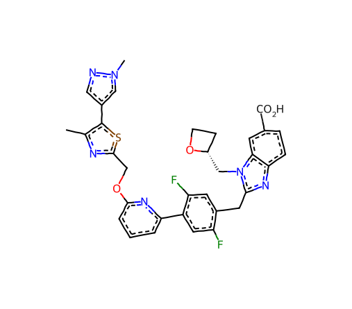 Cc1nc(COc2cccc(-c3cc(F)c(Cc4nc5ccc(C(=O)O)cc5n4C[C@H]4CCO4)cc3F)n2)sc1-c1cnn(C)c1